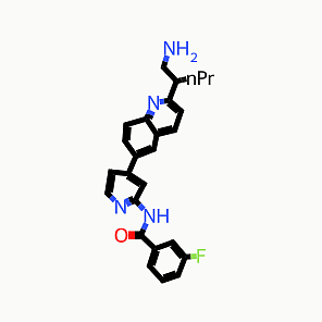 CCCC(CN)c1ccc2cc(-c3ccnc(NC(=O)c4cccc(F)c4)c3)ccc2n1